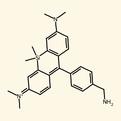 CN(C)c1ccc2c(c1)[Si](C)(C)C1=CC(=[N+](C)C)C=CC1=C2c1ccc(CN)cc1